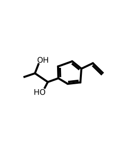 C=Cc1ccc(C(O)C(C)O)cc1